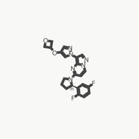 Fc1ccc(F)c([C@H]2CCCN2c2ccn3ncc(-n4cc(OC5COC5)cn4)c3n2)c1